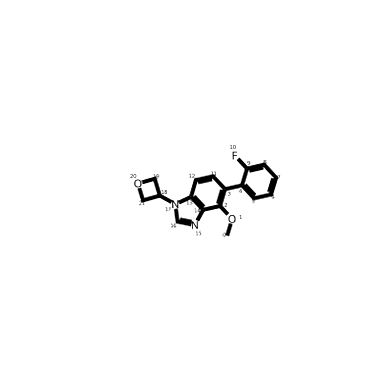 COc1c(-c2ccccc2F)ccc2c1ncn2C1COC1